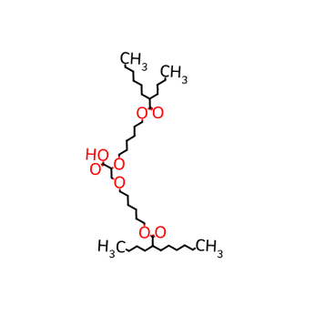 CCCCCCC(CCCC)C(=O)OCCCCCCOCC(OCCCCCCOC(=O)C(CCCC)CCCCCC)C(=O)O